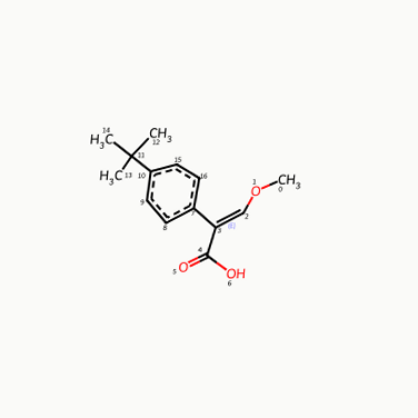 CO/C=C(/C(=O)O)c1ccc(C(C)(C)C)cc1